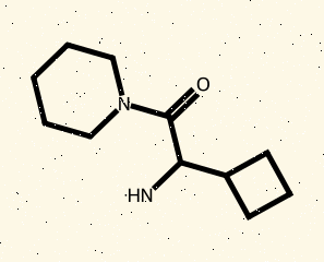 [NH]C(C(=O)N1CCCCC1)C1CCC1